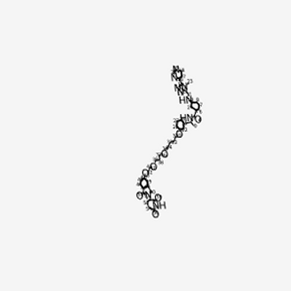 CC(NC(=O)c1cccc(NCc2nnc(-c3ccncn3)n2C)c1)c1cccc(OCCCCCOCCCOCCOc2ccc3c(c2)CN(C2CCC(=O)NC2=O)C3=O)c1